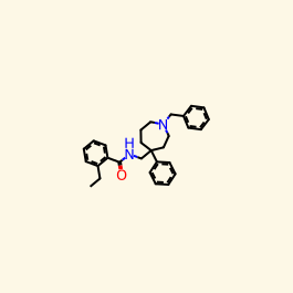 CCc1ccccc1C(=O)NCC1(c2ccccc2)CCCN(Cc2ccccc2)CC1